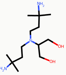 CC(C)(N)CCN(CCC(C)(C)N)C(CO)CO